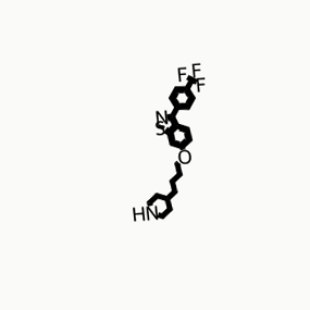 FC(F)(F)c1ccc(-c2nsc3cc(OCCCCC4CCNCC4)ccc23)cc1